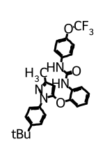 Cc1cc(Oc2ccccc2NC(=O)Nc2ccc(OC(F)(F)F)cc2)n(-c2ccc(C(C)(C)C)cc2)n1